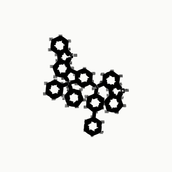 c1ccc(-c2ccc(N(c3ccc4c(c3)[Si](c3ccccc3)(c3ccccc3)c3ccc5c(sc6ccccc65)c3-4)c3cccc4oc5ccccc5c34)cc2)cc1